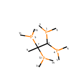 CP(C)C(P(C)C)C(C)(P(C)C)P(C)C